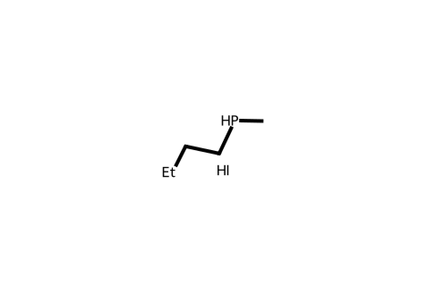 CCCCPC.I